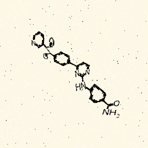 NC(=O)c1ccc(Nc2nccc(-c3ccc(S(=O)(=O)c4cccnc4)cc3)n2)cc1